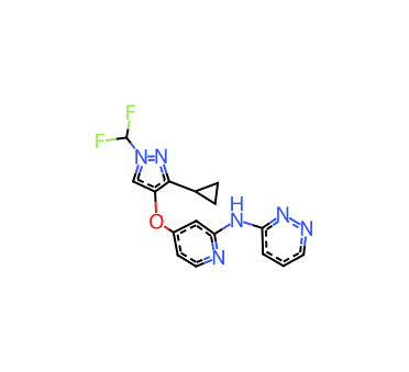 FC(F)n1cc(Oc2ccnc(Nc3cccnn3)c2)c(C2CC2)n1